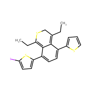 CCC1=c2c(-c3cccs3)ccc(-c3ccc(I)s3)c2=C(CC)SC1